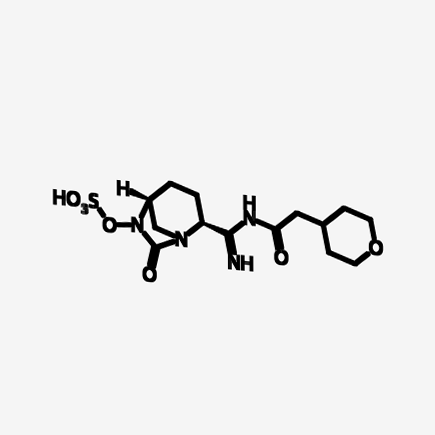 N=C(NC(=O)CC1CCOCC1)[C@@H]1CC[C@@H]2CN1C(=O)N2OS(=O)(=O)O